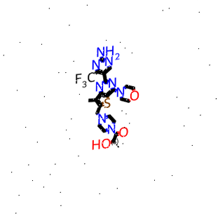 Cc1c(CN2CCN(C(=O)[C@H](C)O)CC2)sc2c(N3CCOCC3)nc(-c3cnc(N)nc3C(F)(F)F)nc12